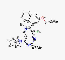 CCc1cccc2cc(OCOC)cc(-c3ncc4c(N5CC6CCC(C6)C5)nc(SC)nc4c3F)c12